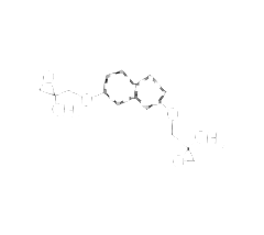 CC1(COc2ccc3ccc(OCC4(C)CO4)cc3c2)CO1